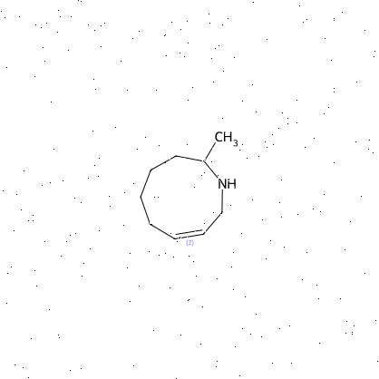 CC1CCCC/C=C\CN1